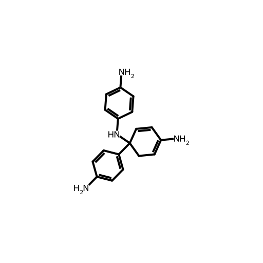 NC1=CCC(Nc2ccc(N)cc2)(c2ccc(N)cc2)C=C1